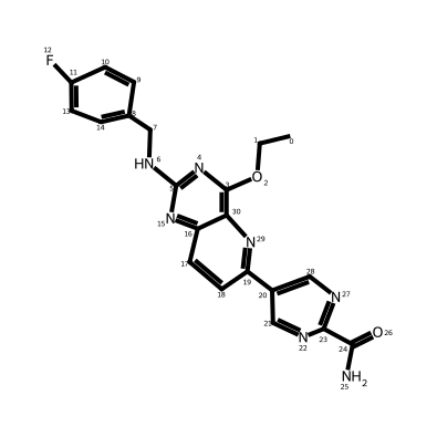 CCOc1nc(NCc2ccc(F)cc2)nc2ccc(-c3cnc(C(N)=O)nc3)nc12